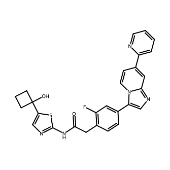 O=C(Cc1ccc(-c2cnc3cc(-c4ccccn4)ccn23)cc1F)Nc1ncc(C2(O)CCC2)s1